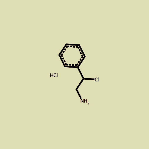 Cl.NCC(Cl)c1ccccc1